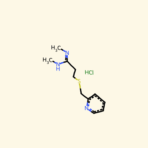 C/N=C(/CCSCc1ccccn1)NC.Cl